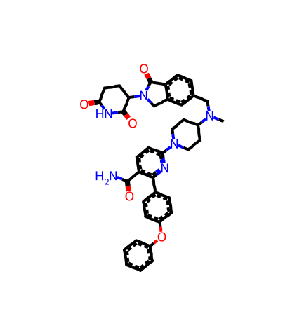 CN(Cc1ccc2c(c1)CN(C1CCC(=O)NC1=O)C2=O)C1CCN(c2ccc(C(N)=O)c(-c3ccc(Oc4ccccc4)cc3)n2)CC1